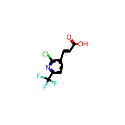 O=C(O)/C=C/c1ccc(C(F)(F)F)nc1Cl